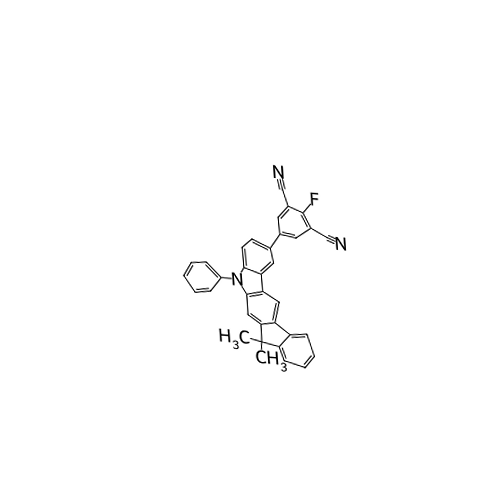 CC1(C)c2ccccc2-c2cc3c4cc(-c5cc(C#N)c(F)c(C#N)c5)ccc4n(-c4ccccc4)c3cc21